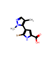 Cc1cnn(C)c1-c1cc(C(=O)O)[nH]c1Br